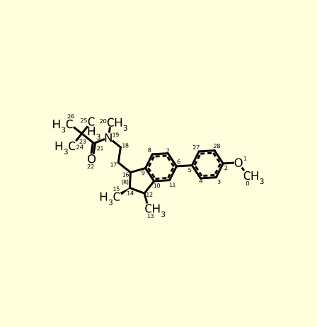 COc1ccc(-c2ccc3c(c2)C(C)[C@@H](C)C3CCN(C)C(=O)C(C)(C)C)cc1